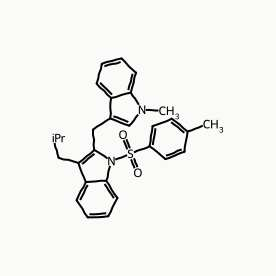 Cc1ccc(S(=O)(=O)n2c(Cc3cn(C)c4ccccc34)c(CC(C)C)c3ccccc32)cc1